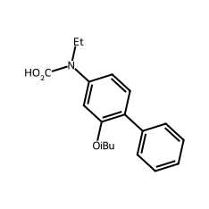 CCN(C(=O)O)c1ccc(-c2ccccc2)c(OCC(C)C)c1